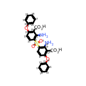 Nc1c(S(=O)(=O)c2ccc(Oc3ccccc3)c(C(=O)O)c2N)ccc(Oc2ccccc2)c1C(=O)O